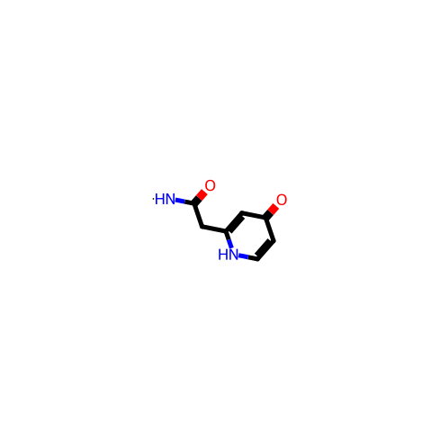 [NH]C(=O)Cc1cc(=O)cc[nH]1